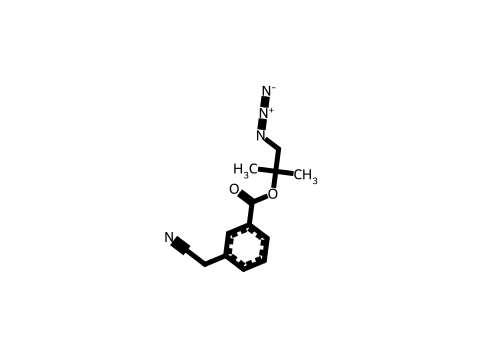 CC(C)(CN=[N+]=[N-])OC(=O)c1cccc(CC#N)c1